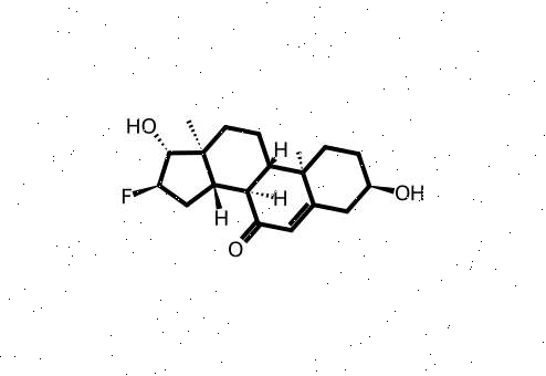 C[C@]12CC[C@H]3[C@@H](C(=O)C=C4C[C@H](O)CC[C@@]43C)[C@@H]1C[C@@H](F)[C@@H]2O